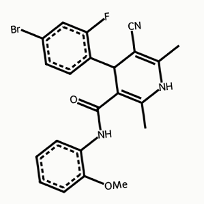 COc1ccccc1NC(=O)C1=C(C)NC(C)=C(C#N)C1c1ccc(Br)cc1F